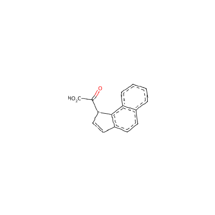 O=C(O)C(=O)C1C=Cc2ccc3ccccc3c21